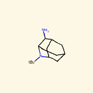 CC(C)(C)N1C2CC3CC(C2)C(N)C1C3